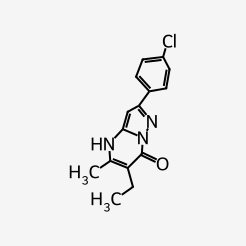 CCc1c(C)[nH]c2cc(-c3ccc(Cl)cc3)nn2c1=O